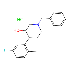 Cc1ccc(F)cc1C1CCN(Cc2ccccc2)CC1O.Cl